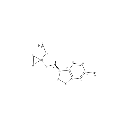 NCC1(CN[C@@H]2CCc3cc(Br)ccc32)CC1